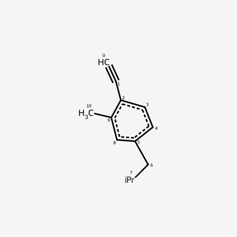 C#Cc1ccc(CC(C)C)cc1C